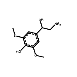 COc1cc(C(O)CN)cc(OC)c1O